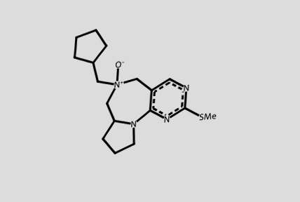 CSc1ncc2c(n1)N1CCCC1C[N+]([O-])(CC1CCCC1)C2